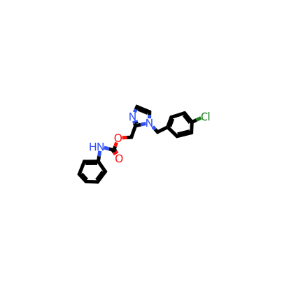 O=C(Nc1ccccc1)OCc1nccn1Cc1ccc(Cl)cc1